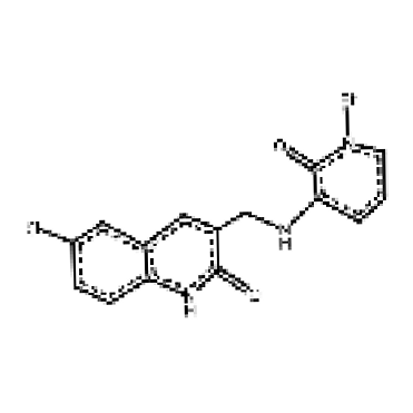 CCn1cccc(NCc2cc3cc(Cl)ccc3[nH]c2=O)c1=O